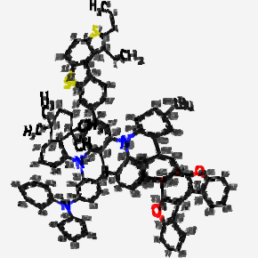 C=Cc1c(/C=C\C)sc2ccc3sc4cc(-c5cc6c7c(c5)N(c5cccc8c5C(C)(C)CCC8(C)C)c5cc(N(c8ccccc8)c8ccccc8)ccc5B7c5ccc(-c7cc8oc9ccccc9c8c8c7oc7ccccc78)cc5N6c5ccc(C(C)(C)C)cc5-c5ccccc5)ccc4c3c12